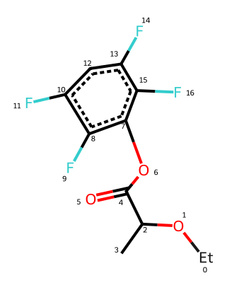 CCOC(C)C(=O)Oc1c(F)c(F)cc(F)c1F